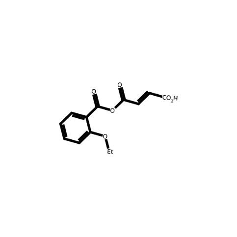 CCOc1ccccc1C(=O)OC(=O)/C=C/C(=O)O